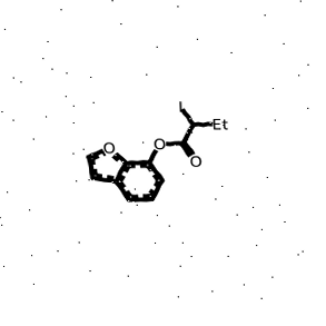 CCC(I)C(=O)Oc1cccc2ccoc12